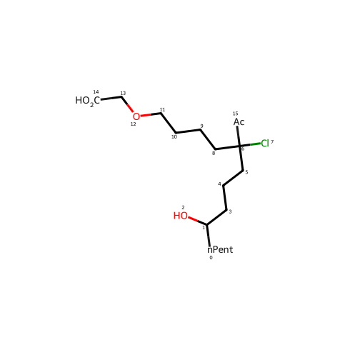 CCCCCC(O)CCCC(Cl)(CCCCOCC(=O)O)C(C)=O